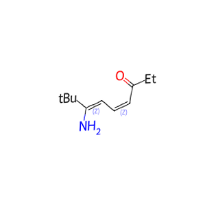 CCC(=O)/C=C\C=C(/N)C(C)(C)C